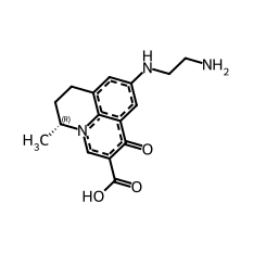 C[C@@H]1CCc2cc(NCCN)cc3c(=O)c(C(=O)O)cn1c23